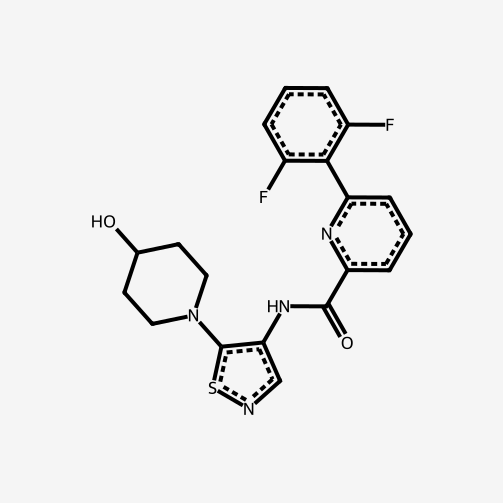 O=C(Nc1cnsc1N1CCC(O)CC1)c1cccc(-c2c(F)cccc2F)n1